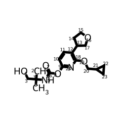 CC(C)(CO)NC(=O)Oc1ccc(C2CCOC2)c(OCC2CC2)n1